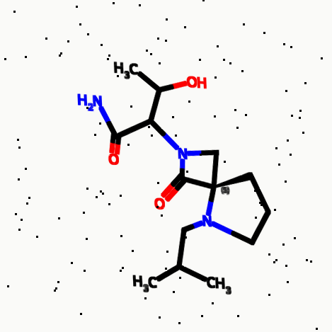 CC(C)CN1CCC[C@@]12CN(C(C(N)=O)C(C)O)C2=O